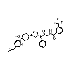 COCc1ccc([C@]2(O)CC[C@H](N3CC[C@@H](N(C(=O)CNC(=O)c4cccc(C(F)(F)F)c4)c4ccccc4)C3)CC2)nc1